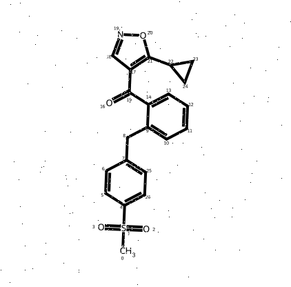 CS(=O)(=O)c1ccc(Cc2ccccc2C(=O)c2cnoc2C2CC2)cc1